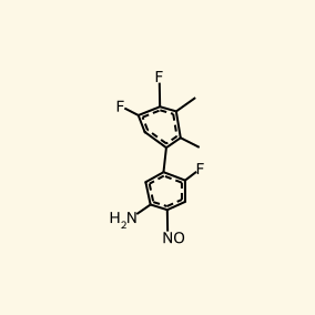 Cc1c(-c2cc(N)c(N=O)cc2F)cc(F)c(F)c1C